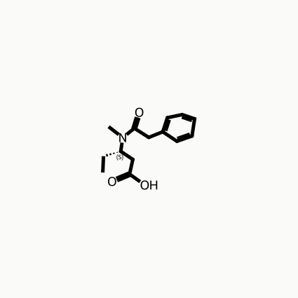 CC[C@@H](CC(=O)O)N(C)C(=O)Cc1ccccc1